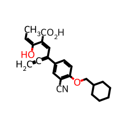 C=C=C(/C=C(C(=O)O)\C(O)=C/C)c1ccc(OCC2CCCCC2)c(C#N)c1